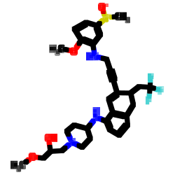 COCC(O)CN1CCC(Nc2cccc3c2C=C(C#CCNc2cc([S+](C)[O-])ccc2OC)C(CC(F)(F)F)C3)CC1